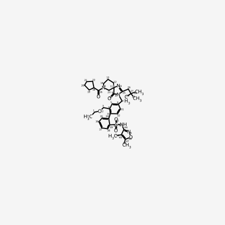 CCOCc1cc(CN2C(=O)[C@@]3(CCCN(C(=O)C4CCCC4)C3)N=C2CC(C)(C)C)ccc1-c1ccccc1S(=O)(=O)Nc1noc(C)c1C